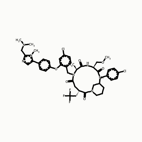 COC[C@@H]1NC(=O)[C@H](C)N(Cc2ccc(Cl)cc2Oc2ccc(-c3cnc(CN(C)C)n3C)cc2)C(=O)C[C@@H](CC(F)(F)F)C(=O)N2CCC[C@@](Cc3ccc(Cl)cc3)(C2)NC1=O